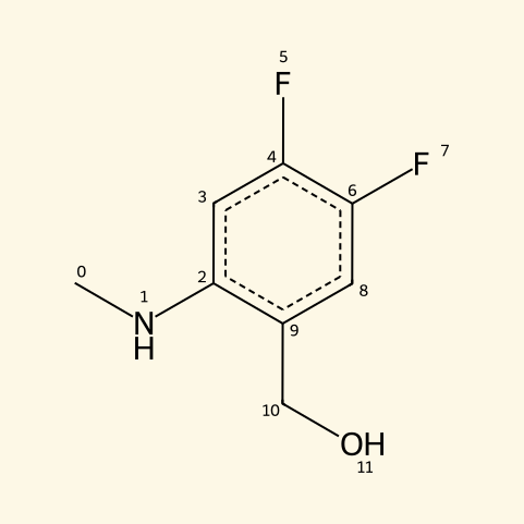 CNc1cc(F)c(F)cc1CO